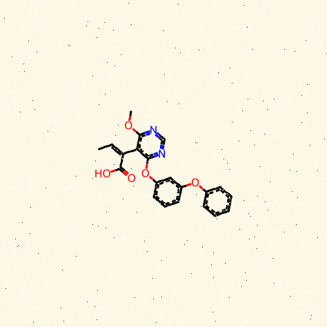 CC=C(C(=O)O)c1c(OC)ncnc1Oc1cccc(Oc2ccccc2)c1